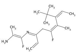 C=C/C(C/C(F)=C(C)\C(=C/C)C(C)(C)C)=N\C(F)=C(/C)N